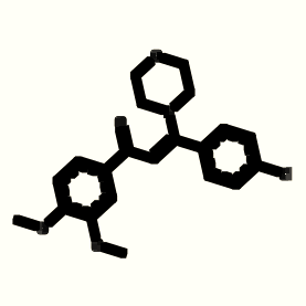 COc1ccc(C(=O)C=C(c2ccc(Cl)cc2)N2CCOCC2)cc1OC